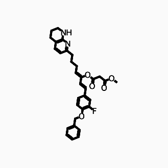 COC(=O)CC(=O)OC(=C\CCCc1ccc2c(n1)NCCC2)/C=C/c1ccc(OCc2ccccc2)c(F)c1